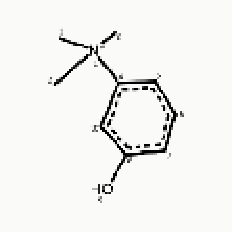 C[N+](C)(C)c1cccc(O)c1